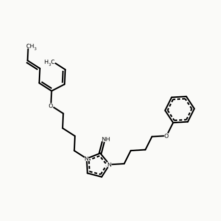 C\C=C/C(=C\C=C\C)OCCCCn1ccn(CCCCOc2ccccc2)c1=N